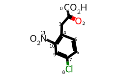 O=C(O)C(=O)Cc1ccc(Cl)cc1[N+](=O)[O-]